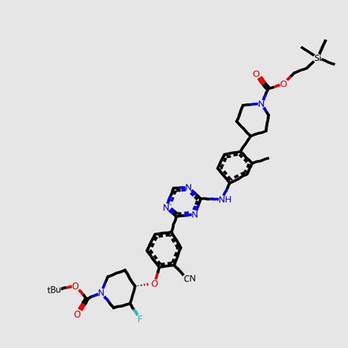 Cc1cc(Nc2ncnc(-c3ccc(O[C@H]4CCN(C(=O)OC(C)(C)C)CC4F)c(C#N)c3)n2)ccc1C1CCN(C(=O)OCC[Si](C)(C)C)CC1